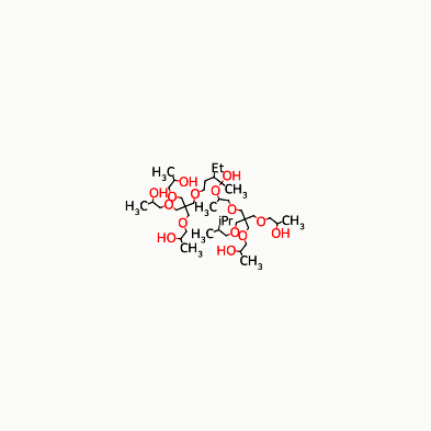 CCC(CCOCC(COCC(C)O)(COCC(C)O)COCC(C)O)C(C)(O)OC(C)COCC(COCC(C)O)(COCC(C)O)COCC(C)C(C)C